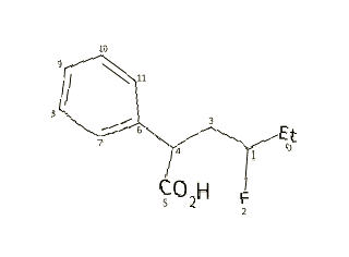 CCC(F)CC(C(=O)O)c1ccccc1